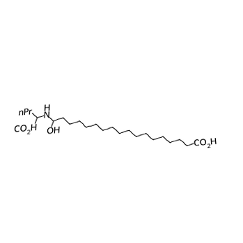 CCCC(NC(O)CCCCCCCCCCCCCCCCC(=O)O)C(=O)O